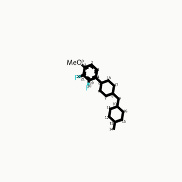 COc1ccc(C2CCC(CC3CCC(C)CC3)CC2)c(F)c1F